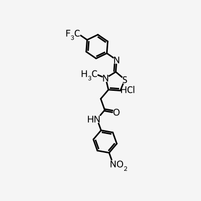 Cl.Cn1c(CC(=O)Nc2ccc([N+](=O)[O-])cc2)cs/c1=N/c1ccc(C(F)(F)F)cc1